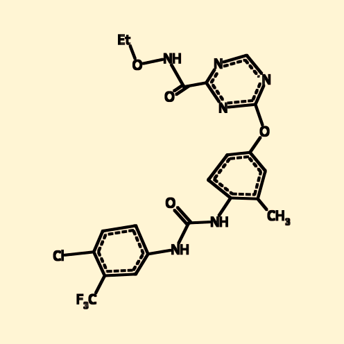 CCONC(=O)c1ncnc(Oc2ccc(NC(=O)Nc3ccc(Cl)c(C(F)(F)F)c3)c(C)c2)n1